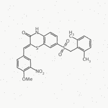 COc1ccc(/C=C2\Sc3cc(S(=O)(=O)Cc4c(C)cccc4C)ccc3NC2=O)cc1[N+](=O)[O-]